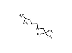 CC(C)SCCNCC(C)(C)C